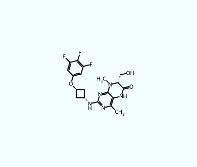 Cc1nc(N[C@H]2C[C@H](Oc3cc(F)c(F)c(F)c3)C2)nc2c1NC(=O)[C@@H](CO)N2C